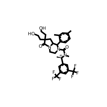 Cc1ccc(C2C3CC(CCO)(CCO)C(=O)N3CCN2C(=O)N(C)[C@H](C)c2cc(C(F)(F)F)cc(C(F)(F)F)c2)c(C)c1